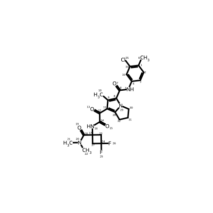 Cc1ccc(NC(=O)c2c(C)c(C(=O)C(=O)NC3(C(=O)N(C)C)CC(F)(F)C3)c3n2CCC3)cc1Cl